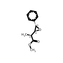 COC(=O)[C@@H](C)[C@@H]1O[C@H]1c1ccccc1